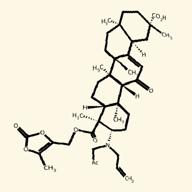 C=CCN(CC(C)=O)[C@H]1CC[C@@]2(C)[C@@H](CC[C@]3(C)[C@@H]2C(=O)C=C2[C@@H]4C[C@@](C)(C(=O)O)CC[C@]4(C)CC[C@]23C)[C@]1(C)C(=O)OCc1oc(=O)oc1C